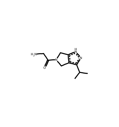 CC(C)c1n[nH]c2c1CN(C(=O)CN)C2